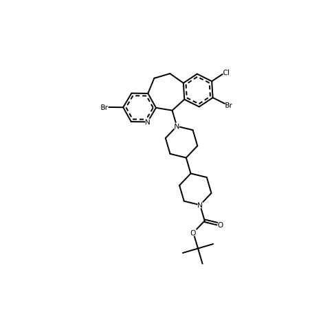 CC(C)(C)OC(=O)N1CCC(C2CCN(C3c4cc(Br)c(Cl)cc4CCc4cc(Br)cnc43)CC2)CC1